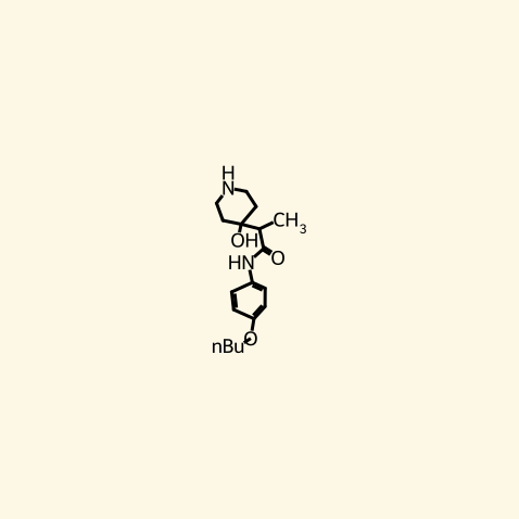 CCCCOc1ccc(NC(=O)C(C)C2(O)CCNCC2)cc1